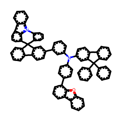 c1ccc(C2(c3ccccc3)c3ccccc3-c3ccc(N(c4ccc(-c5cccc6c5oc5ccccc56)cc4)c4cccc(-c5ccc6c(c5)C5(c7ccccc7-6)c6ccccc6-n6c7ccccc7c7cccc5c76)c4)cc32)cc1